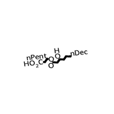 CCCCCCCCCCCCCC(O)CC(=O)OC(CCCCC)CC(=O)O